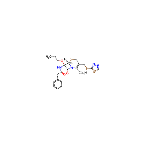 C=CCOC1(NC(=O)Cc2ccccc2)C(=O)N2C(C(=O)O)=C(CSc3nncs3)CS[C@H]21